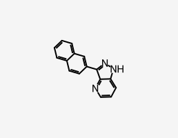 c1ccc2cc(-c3n[nH]c4cccnc34)ccc2c1